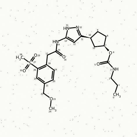 CCCNC(=O)O[C@@H]1CC[C@H](c2cc(NC(=O)Cc3ccc(COC)cc3S(C)(=O)=O)[nH]n2)C1